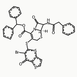 O=C(Cc1ccccc1)NC1C(=O)N2C(C(=O)OC(c3ccccc3)c3ccccc3)=C(Sc3sc4ccsc4c(=O)c3Br)CS[C@H]12